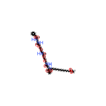 CC(C)(C)OC(=O)CCCCCCCCCCCCCCC(=O)N[C@@H](CCC(=O)NCCOCCOCC(=O)NCCOCCOCC(=O)NCCNC(=O)OCc1ccccc1)C(=O)OC(C)(C)C